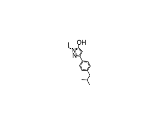 CCn1nc(-c2ccc(CC(C)C)cc2)cc1O